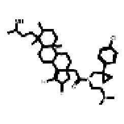 CC(O)CCC1(C)C(C)CCC2(C)C3CCC4(CC(=O)N(CCN(C)C)CC5(c6ccc(Cl)cc6)CC5)CC(=O)C(C(C)C)=C4C3CCC12